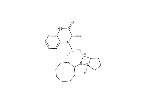 C[C@@H](C[C@@H]1C2CCC[C@H]2N1C1CCCCCCC1)n1c(=O)c(=O)[nH]c2ccccc21